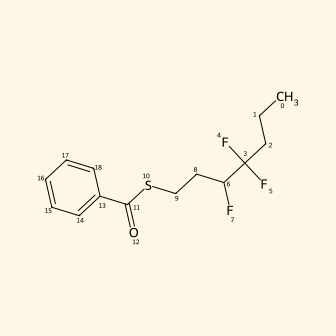 CCCC(F)(F)C(F)CCSC(=O)c1ccccc1